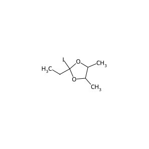 CCC1(I)OC(C)C(C)O1